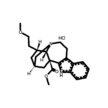 COCC[C@H]1C[C@H]2CN3CCc4c([nH]c5ccccc45)[C@](C(=O)OC)(C2)[C@H]13.Cl